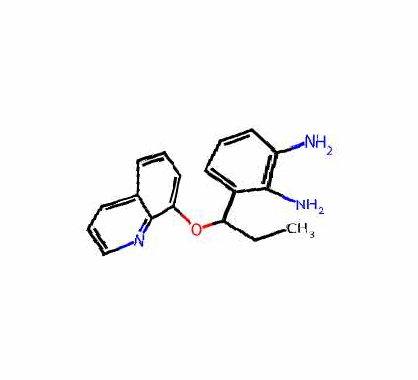 CCC(Oc1cccc2cccnc12)c1cccc(N)c1N